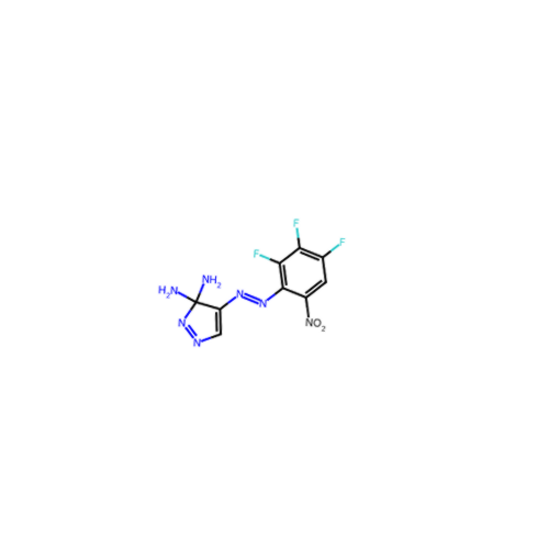 NC1(N)N=NC=C1N=Nc1c([N+](=O)[O-])cc(F)c(F)c1F